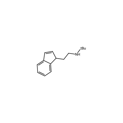 CC(C)(C)NCCC1C=Cc2ccccc21